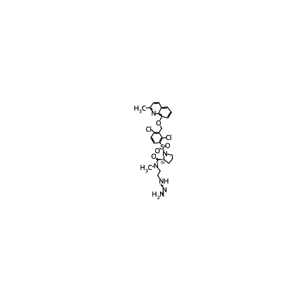 Cc1ccc2cccc(OCc3c(Cl)ccc(S(=O)(=O)N4CCC[C@H]4C(=O)N(C)CCNC=NN)c3Cl)c2n1